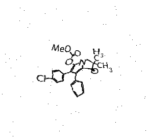 COC(=O)Oc1c(-c2ccc(Cl)cc2)c(-c2ccccc2)c2n1CC(C)(C)C2=O